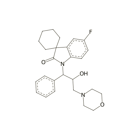 O=C1N(C(c2ccccc2)C(O)CN2CCOCC2)c2ccc(F)cc2C12CCCCC2